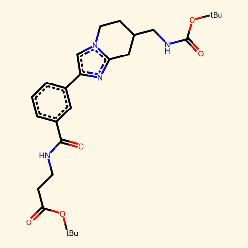 CC(C)(C)OC(=O)CCNC(=O)c1cccc(-c2cn3c(n2)CC(CNC(=O)OC(C)(C)C)CC3)c1